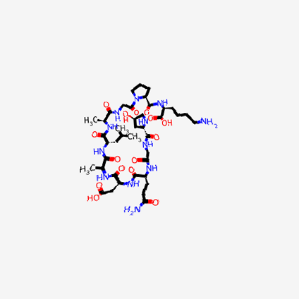 CC(C)C[C@H](NC(=O)C(C)NC(=O)[C@H](CC(=O)O)NC(=O)[C@H](CCC(N)=O)NC(=O)CNC(=O)[C@@H]1C[C@@H](O)CN1)C(=O)N[C@@H](C)C(=O)NCC(=O)N1CCC[C@H]1C(=O)N[C@@H](CCCCN)C(=O)O